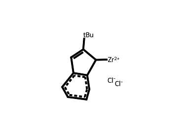 CC(C)(C)C1=Cc2ccccc2[CH]1[Zr+2].[Cl-].[Cl-]